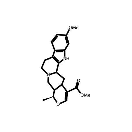 COC(=O)C1=CO[C@@H](C)C2CN3CCc4c([nH]c5cc(OC)ccc45)C3CC12